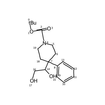 CC(C)(C)OC(=O)N1CCC(c2ccccc2)(C(O)CO)CC1